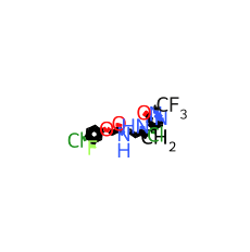 C=C(CCNC(=O)COc1ccc(Cl)c(F)c1)Nc1c(Cl)cnn(CC(F)(F)F)c1=O